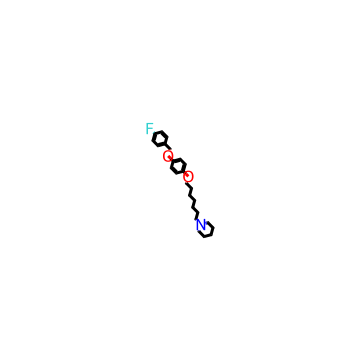 Fc1ccc(COc2ccc(OCCCCCCCN3CCCCC3)cc2)cc1